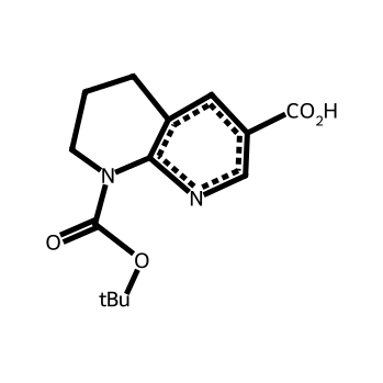 CC(C)(C)OC(=O)N1CCCc2cc(C(=O)O)cnc21